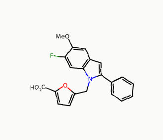 COc1cc2cc(-c3ccccc3)n(Cc3ccc(C(=O)O)o3)c2cc1F